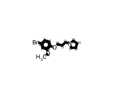 COc1cc(Br)ccc1OCCCN1CCCC1